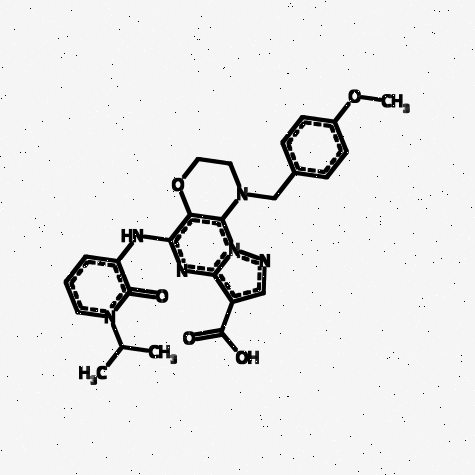 COc1ccc(CN2CCOc3c(Nc4cccn(C(C)C)c4=O)nc4c(C(=O)O)cnn4c32)cc1